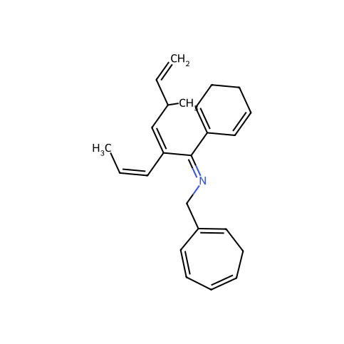 C=CC(C)/C=C(/C=C\C)C(=N/CC1=CCC=CC=C1)\C1=CCCC=C1